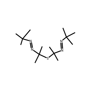 CC(C)(C)N=NC(C)(C)SC(C)(C)N=NC(C)(C)C